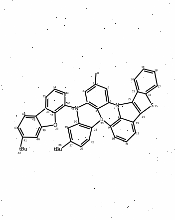 Cc1cc2c3c(c1)-n1c4c(cccc4c4sc5ccccc5c41)B3c1ccc(C(C)(C)C)cc1N2c1cccc2c1oc1cc(C(C)(C)C)ccc12